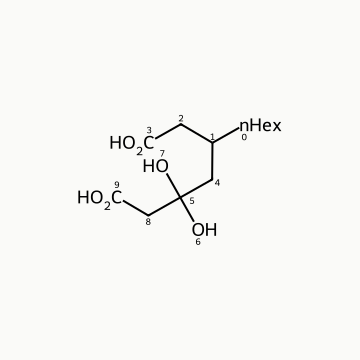 CCCCCCC(CC(=O)O)CC(O)(O)CC(=O)O